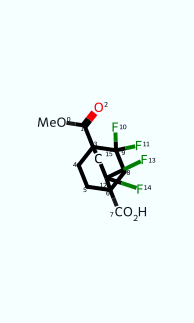 COC(=O)C12CCC(C(=O)O)(CC1(F)F)C(F)(F)C2